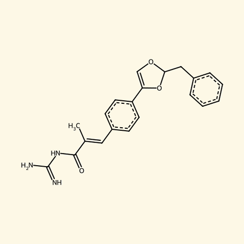 C/C(=C\c1ccc(C2=COC(Cc3ccccc3)O2)cc1)C(=O)NC(=N)N